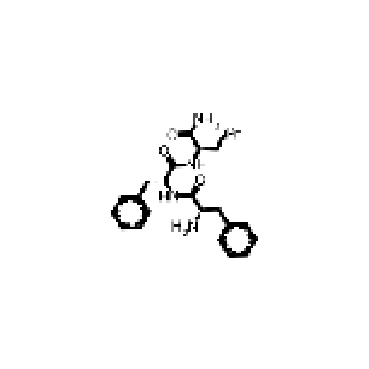 CC(C)C[C@@H](NC(=O)[C@@H](Cc1ccccc1)NC(=O)[C@H](N)Cc1ccccc1)C(N)=O